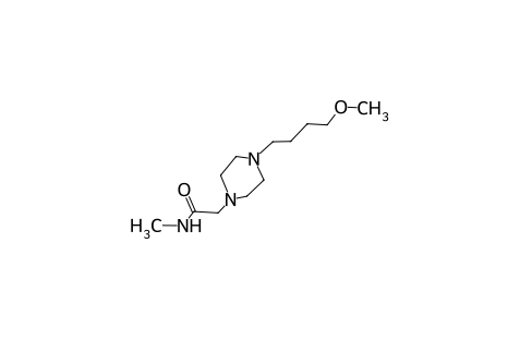 CNC(=O)CN1CCN(CCCCOC)CC1